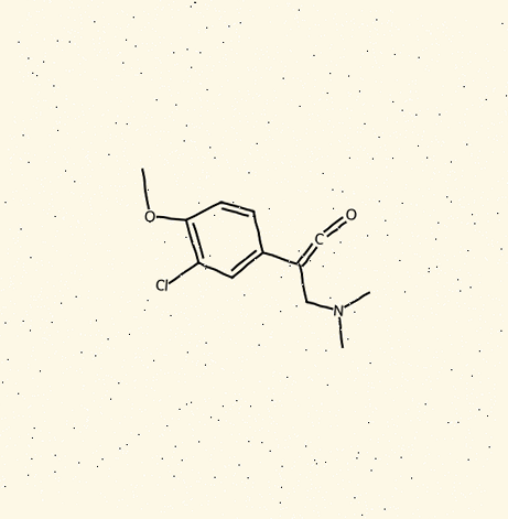 COc1ccc(C(=C=O)CN(C)C)cc1Cl